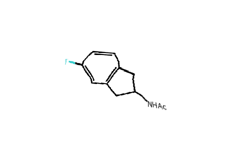 CC(=O)NC1Cc2ccc(F)cc2C1